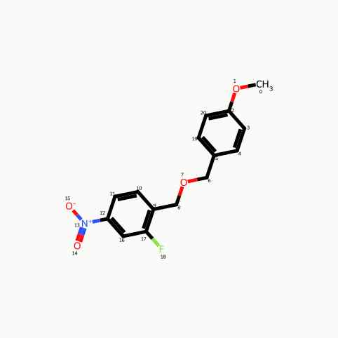 COc1ccc(COCc2ccc([N+](=O)[O-])cc2F)cc1